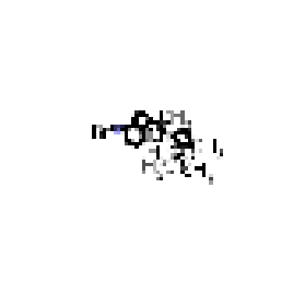 C[C@H](C[C@H]1C=C[C@@](C)(O[Si](C)(C)C)C1)[C@H]1CCC2/C(=C/Br)CCC[C@@]21C